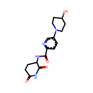 O=C1CCC(NC(=O)c2ccc(N3CCC(O)CC3)cn2)C(=O)N1